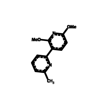 COc1ccc(-c2cccc(C)n2)c(OC)n1